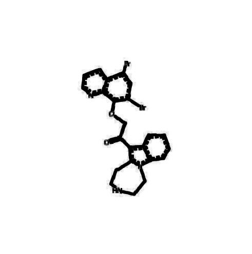 O=C(COc1c(Br)cc(Br)c2cccnc12)c1c2n(c3ccccc13)CCNCC2